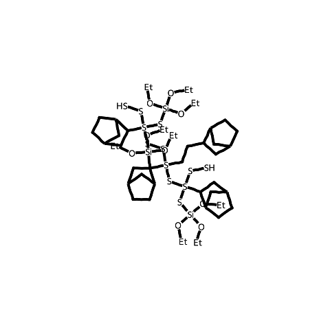 CCO[Si](OCC)(OCC)SS(SS)(SSS(CCC1CC2CCC1C2)(SS(SS)(S[Si](OCC)(OCC)OCC)C1CC2CCC1C2)C1([Si](OCC)(OCC)OCC)CC2CCC1C2)C1CC2CCC1C2